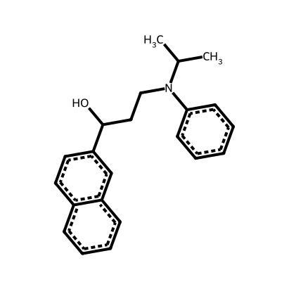 CC(C)N(CCC(O)c1ccc2ccccc2c1)c1ccccc1